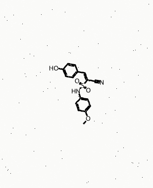 COc1ccc(NS(=O)(=O)/C(C#N)=C\c2ccc(O)cc2)cc1